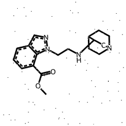 COC(=O)c1cccc2cnn(CCNC3CN4CCC3CC4)c12